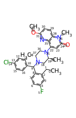 CCc1cc(F)ccc1C(c1ccc(Cl)cc1)N1C[C@H](C)N(c2cc(=O)n(C)c3ccc(OC)nc23)C[C@H]1C